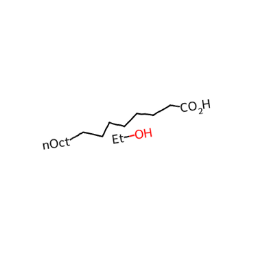 CCCCCCCCCCCCCCCC(=O)O.CCO